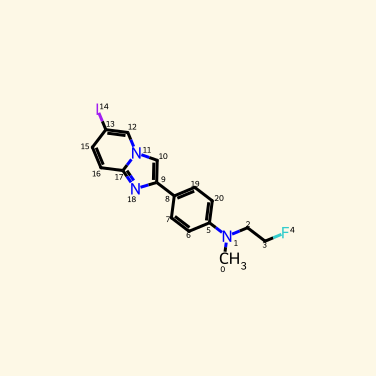 CN(CCF)c1ccc(-c2cn3cc(I)ccc3n2)cc1